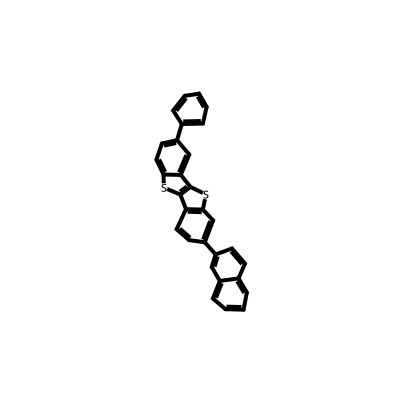 c1ccc(-c2ccc3sc4c5ccc(-c6ccc7ccccc7c6)cc5sc4c3c2)cc1